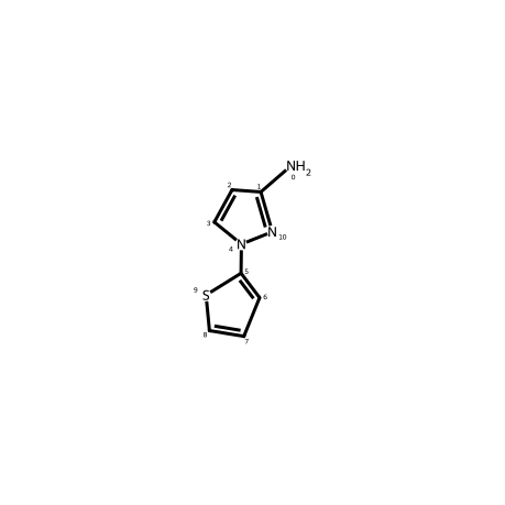 Nc1ccn(-c2cccs2)n1